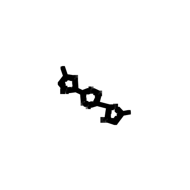 Cc1c[nH]c(-c2nnc(-c3nc(C)c[nH]3)nn2)n1